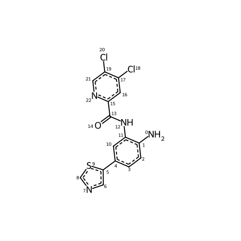 Nc1ccc(-c2cncs2)cc1NC(=O)c1cc(Cl)c(Cl)cn1